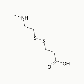 CNCCSSCCC(=O)O